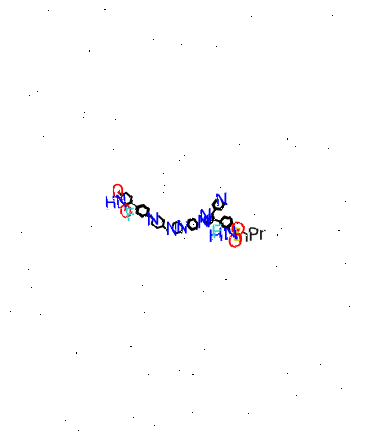 CCCS(=O)(=O)Nc1cccc(-c2cn(-c3ccc(N4CCN(CC5CCN(c6ccc([C@@H]7CCC(=O)NC7=O)c(F)c6)CC5)CC4)cc3)nc2-c2ccncc2)c1F